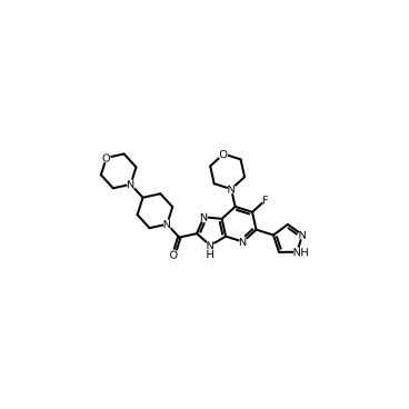 O=C(c1nc2c(N3CCOCC3)c(F)c(-c3cn[nH]c3)nc2[nH]1)N1CCC(N2CCOCC2)CC1